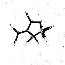 O=S1(=O)CC(F)C(C(F)F)C1(F)F